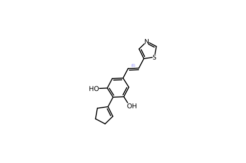 Oc1cc(/C=C/c2cncs2)cc(O)c1C1=CCCC1